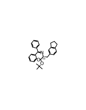 CC(C)(C)OC(=O)[C@H](Cc1ccc2c(c1)CCC2)N=C(c1ccccc1)c1ccccc1